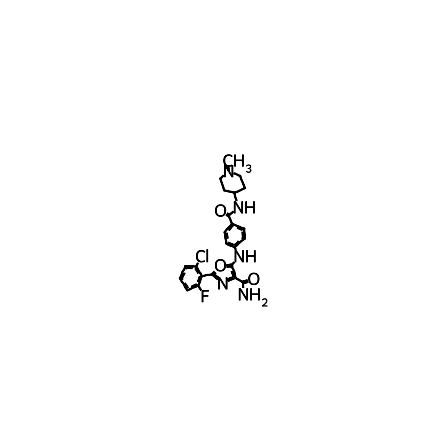 CN1CCC(NC(=O)c2ccc(Nc3oc(-c4c(F)cccc4Cl)nc3C(N)=O)cc2)CC1